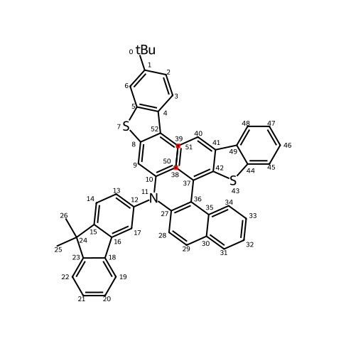 CC(C)(C)c1ccc2c(c1)sc1cc(N(c3ccc4c(c3)-c3ccccc3C4(C)C)c3ccc4ccccc4c3-c3cccc4c3sc3ccccc34)ccc12